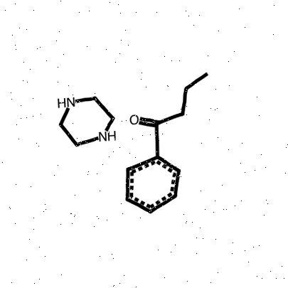 C1CNCCN1.CCCC(=O)c1ccccc1